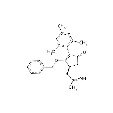 CC(=N)C[C@@H]1CC(=O)C(c2c(C)cc(C)cc2C)=C1OCc1ccccc1